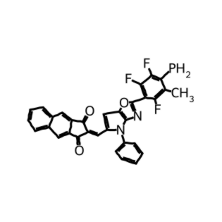 Cc1c(F)c(-c2nc3c(cc(C=C4C(=O)c5cc6ccccc6cc5C4=O)n3-c3ccccc3)o2)c(F)c(F)c1P